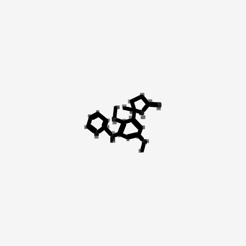 COc1cc(Nc2ccccn2)c(OC)c(C2(C)CCC(=O)O2)c1